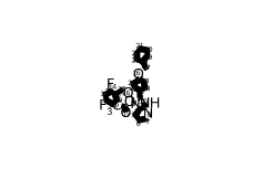 O=C(ON1c2cccnc2NC1c1ccc(OCc2ccccc2)cc1OCc1ccccc1F)C(F)(F)F